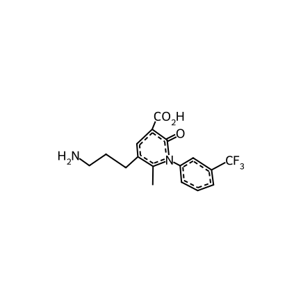 Cc1c(CCCN)cc(C(=O)O)c(=O)n1-c1cccc(C(F)(F)F)c1